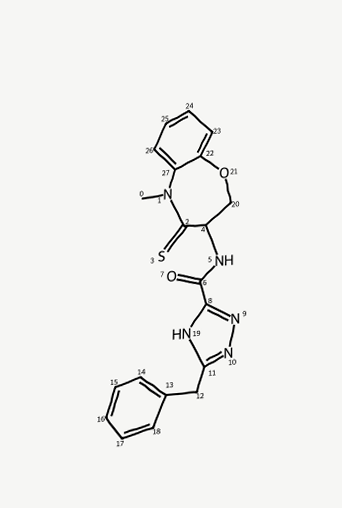 CN1C(=S)C(NC(=O)c2nnc(Cc3ccccc3)[nH]2)COc2ccccc21